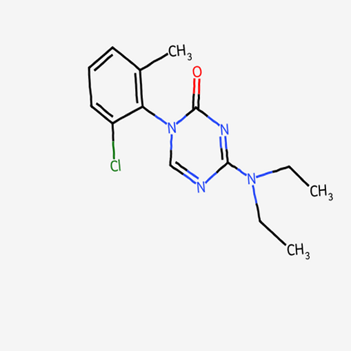 CCN(CC)c1ncn(-c2c(C)cccc2Cl)c(=O)n1